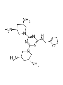 N[C@@H]1C[C@H](N)CN(c2nc(NCC3=CCCO3)nc(N3C[C@H](N)C[C@H](N)C3)n2)C1